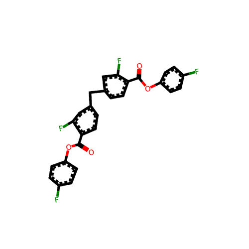 O=C(Oc1ccc(F)cc1)c1ccc(Cc2ccc(C(=O)Oc3ccc(F)cc3)c(F)c2)cc1F